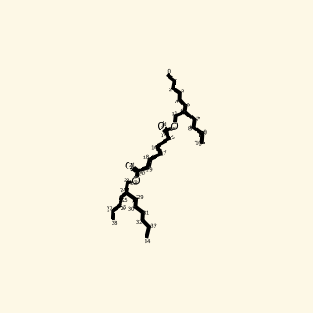 CCCCCCC(CCCC)COC(=O)CCCCCC(=O)OCC(CCCC)CCCCCC